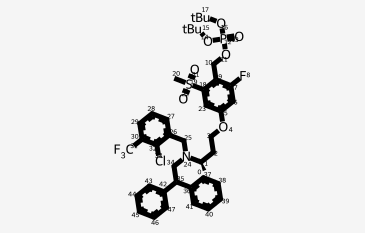 C[C@H](CCOc1cc(F)c(COP(=O)(OC(C)(C)C)OC(C)(C)C)c(S(C)(=O)=O)c1)N(Cc1cccc(C(F)(F)F)c1Cl)CC(c1ccccc1)c1ccccc1